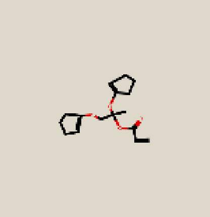 C=CC(=O)OC(C)(COC1=CCCC1)OC1=CCCC1